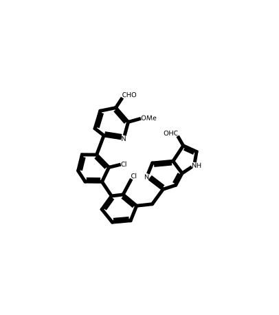 COc1nc(-c2cccc(-c3cccc(Cc4cc5[nH]cc(C=O)c5cn4)c3Cl)c2Cl)ccc1C=O